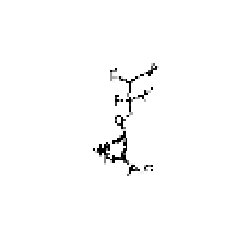 CC(=O)c1cc(OCC(F)(F)C(F)F)n(C)n1